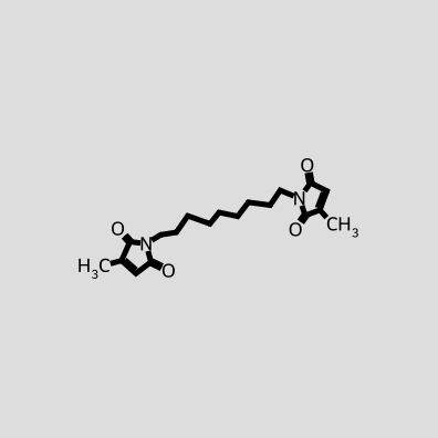 CC1=CC(=O)N(CCCCCCCCCN2C(=O)C=C(C)C2=O)C1=O